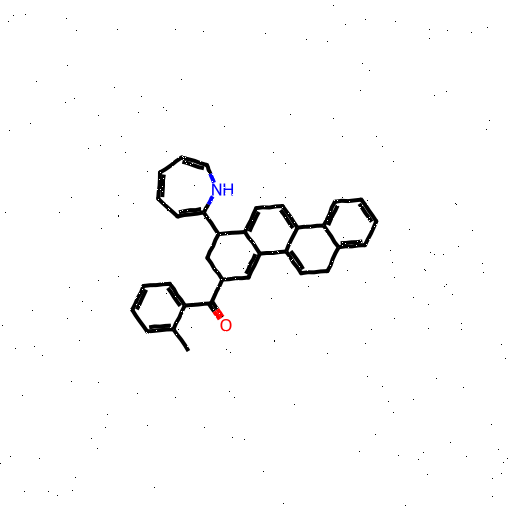 Cc1ccccc1C(=O)C1C=c2c(ccc3c2=CCc2ccccc2-3)C(C2=CC=CC=CN2)C1